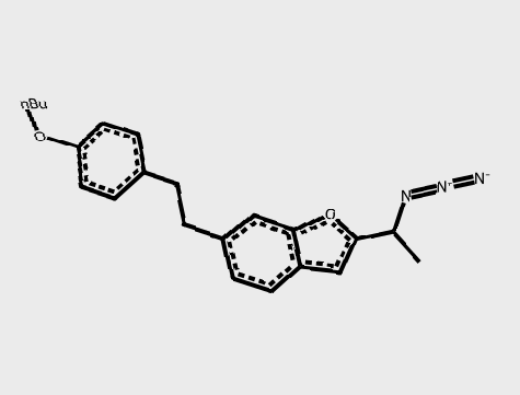 CCCCOc1ccc(CCc2ccc3cc(C(C)N=[N+]=[N-])oc3c2)cc1